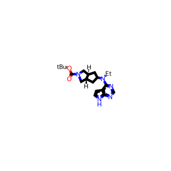 CCN(c1ncnc2[nH]ccc12)C1C[C@@H]2CN(C(=O)OC(C)(C)C)C[C@H]2C1